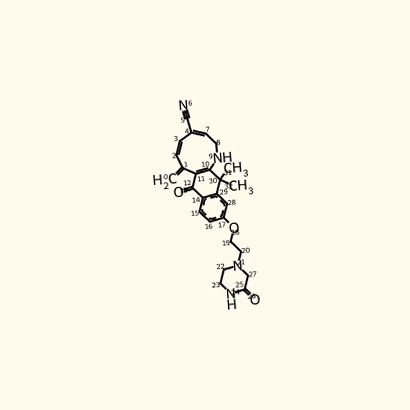 C=C1/C=C\C(C#N)=C/CNC2=C1C(=O)c1ccc(OCCN3CCNC(=O)C3)cc1C2(C)C